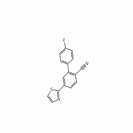 N#Cc1ccc(-c2nccs2)cc1-c1ccc(F)cc1